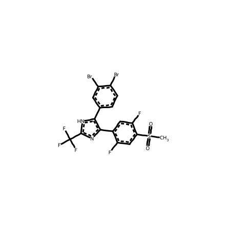 CS(=O)(=O)c1cc(F)c(-c2nc(C(F)(F)F)[nH]c2-c2ccc(Br)c(Br)c2)cc1F